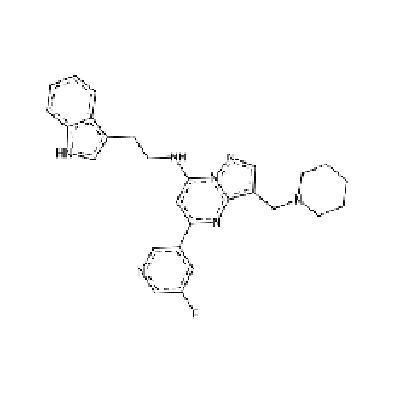 Fc1cncc(-c2cc(NCCc3c[nH]c4ccccc34)n3ncc(CN4CCCCC4)c3n2)c1